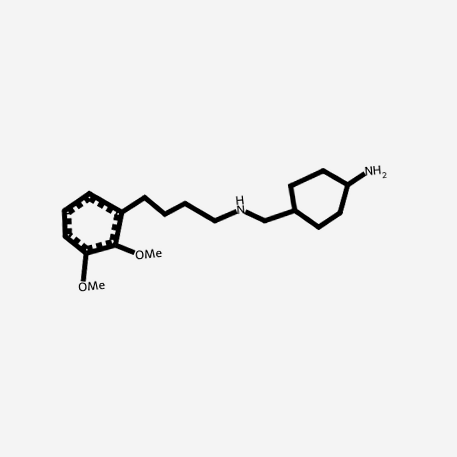 COc1cccc(CCCCNCC2CCC(N)CC2)c1OC